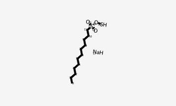 CCCCCCCCCCCCS(=O)(=O)OS.[NaH]